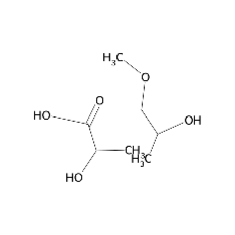 CC(O)C(=O)O.COCC(C)O